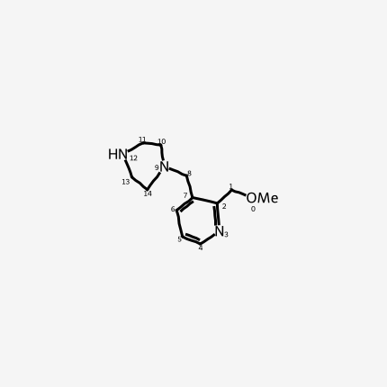 COCc1ncccc1CN1CCNCC1